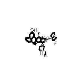 C#Cc1cccc2cc(O)cc(-c3c(F)cc4c(N5CCN[C@@H](CC#N)C5)nc(OC[C@@]56CCCN5C[C@H](F)C6)nc4c3F)c12